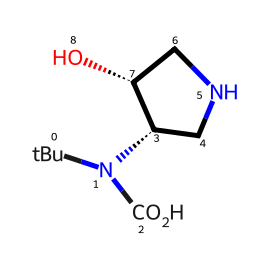 CC(C)(C)N(C(=O)O)[C@H]1CNC[C@H]1O